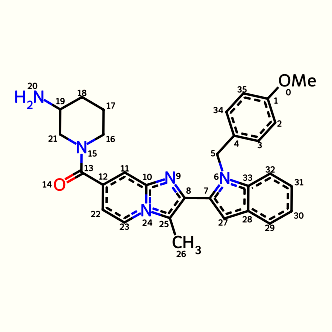 COc1ccc(Cn2c(-c3nc4cc(C(=O)N5CCCC(N)C5)ccn4c3C)cc3ccccc32)cc1